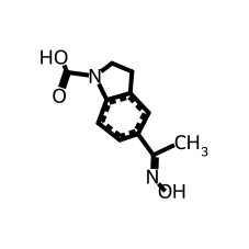 C/C(=N\O)c1ccc2c(c1)CCN2C(=O)O